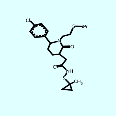 CC(C)SCCN1C(=O)C(CC(=O)NSC2(C)CC2)CCC1c1ccc(Cl)cc1